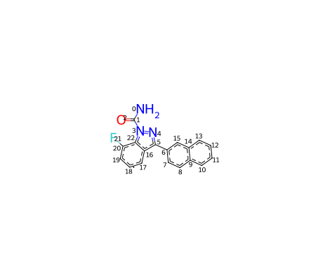 NC(=O)n1nc(-c2ccc3ccccc3c2)c2c[c]cc(F)c21